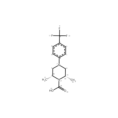 C[C@@H]1CN(c2ccc(C(F)(F)F)cc2)C[C@H](C)N1C(=O)O